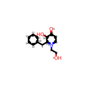 O=c1ccn(CCO)c(Cc2ccccc2)c1O